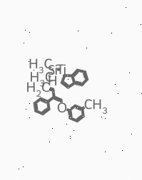 C=CC(=COc1cccc(C)c1)c1ccccc1.C[SiH](C)[Ti][CH]1C=Cc2ccccc21